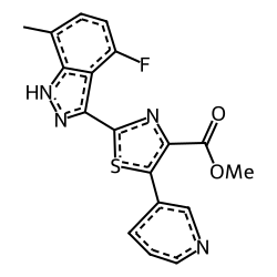 COC(=O)c1nc(-c2n[nH]c3c(C)ccc(F)c23)sc1-c1cccnc1